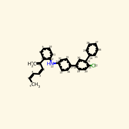 C=C(/C=C\C=C/C)c1ccccc1Nc1ccc(-c2ccc(Cl)c(-c3ccccc3)c2)cc1